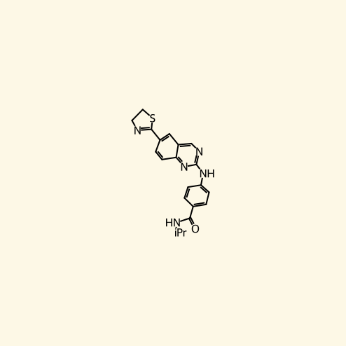 CC(C)NC(=O)c1ccc(Nc2ncc3cc(C4=NCCS4)ccc3n2)cc1